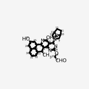 CC1c2c(ncc3c(N4CC5CCC(C4)N5C=O)nc(OCC=O)nc23)-c2cc(O)cc3cccc1c23